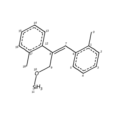 Cc1ccccc1C=C(CO[SiH3])c1ccccc1C